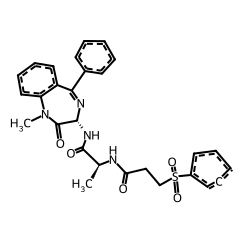 C[C@H](NC(=O)CCS(=O)(=O)c1ccccc1)C(=O)N[C@H]1N=C(c2ccccc2)c2ccccc2N(C)C1=O